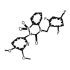 COc1ccc(N2C(=O)N(Cc3c(F)cc(F)cc3F)c3ccccc3S2(=O)=O)nc1OC